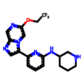 FC(F)(F)COc1cn2c(-c3cccc(NC4CCCNC4)n3)cnc2cn1